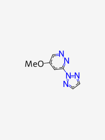 COc1cnnc(-n2nccn2)c1